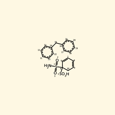 NS(=O)(=O)C1(S(=O)(=O)O)C=CC=CC1.c1ccc(Cc2ccccc2)cc1